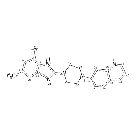 FC(F)(F)c1cc(Br)c2[nH]c(N3CCN(c4ccc5cccnc5c4)CC3)nc2c1